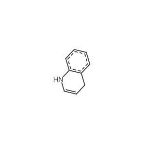 C1=CNc2ccccc2C1